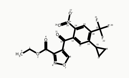 CCOC(=O)c1nocc1C(=O)c1cc(C2CC2)c(C(F)(F)F)cc1[N+](=O)[O-]